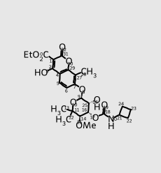 CCOC(=O)c1c(O)c2ccc(O[C@@H]3OC(C)(C)[C@H](OC)[C@@H](OC(=O)NC4CCC4)[C@H]3O)c(C)c2oc1=O